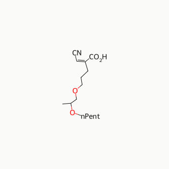 CCCCCOC(C)COCCCC(=CC#N)C(=O)O